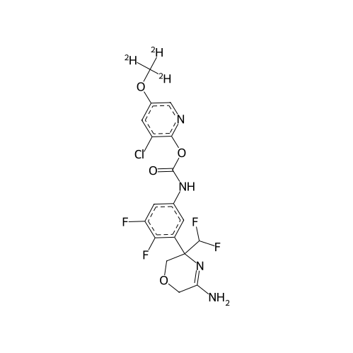 [2H]C([2H])([2H])Oc1cnc(OC(=O)Nc2cc(F)c(F)c(C3(C(F)F)COCC(N)=N3)c2)c(Cl)c1